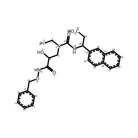 CC(C)CN(CC(O)C(=O)NOCc1ccccc1)C(=O)NC(CC(=O)O)c1ccc2ccccc2c1